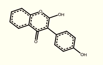 O=c1c(-c2ccc(O)cc2)c(O)oc2ccccc12